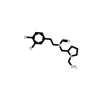 CCN1CCCC1CN(C=O)CCc1ccc(Cl)c(Cl)c1